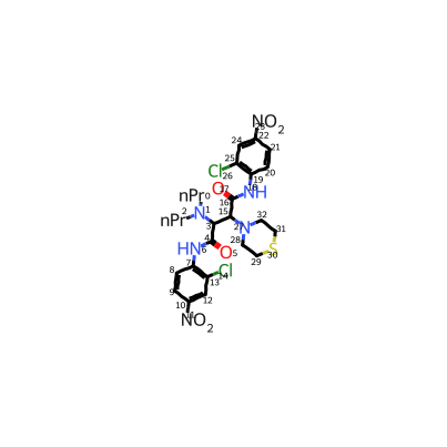 CCCN(CCC)C(C(=O)Nc1ccc([N+](=O)[O-])cc1Cl)C(C(=O)Nc1ccc([N+](=O)[O-])cc1Cl)N1CCSCC1